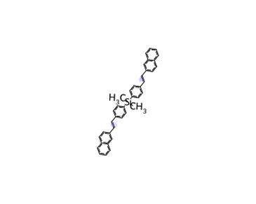 C[Si](C)(c1ccc(/C=C/c2ccc3ccccc3c2)cc1)c1ccc(/C=C/c2ccc3ccccc3c2)cc1